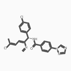 C=N/C(=C\C=C(/C)Cl)[C@@H](NC(=O)c1ccc(-n2cncn2)cc1)c1ccc(Cl)cc1